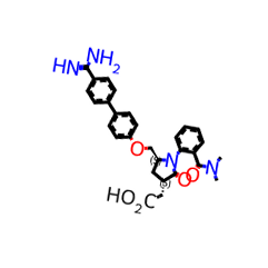 CN(C)C(=O)c1ccccc1N1C(=O)[C@H](CC(=O)O)C[C@H]1COc1ccc(-c2ccc(C(=N)N)cc2)cc1